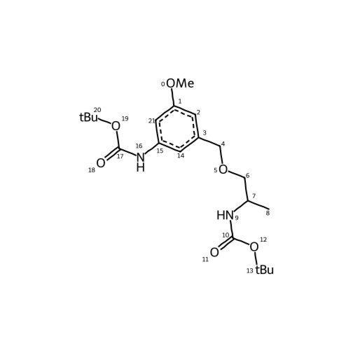 COc1cc(COCC(C)NC(=O)OC(C)(C)C)cc(NC(=O)OC(C)(C)C)c1